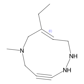 CC/C1=C\CNNC#CCN(C)C1